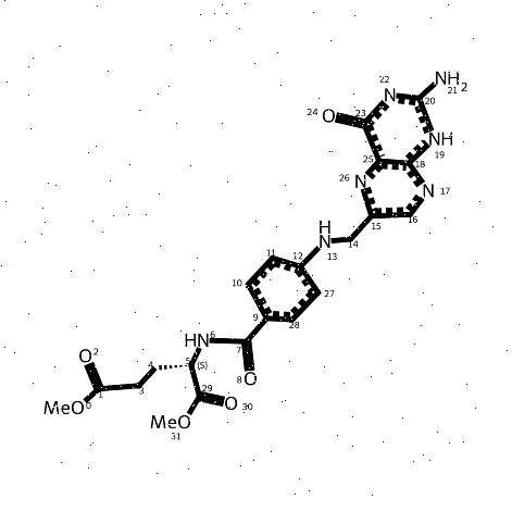 COC(=O)CC[C@H](NC(=O)c1ccc(NCc2cnc3[nH]c(N)nc(=O)c3n2)cc1)C(=O)OC